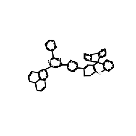 C1=Cc2cc(-c3cc(-c4ccc(C5=CC6=C(CC5)Oc5ccccc5C65c6ccccc6-c6ccccc65)cc4)nc(-c4ccccc4)n3)cc3c2C(C1)CC=C3